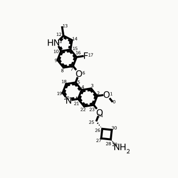 COc1cc2c(Oc3ccc4[nH]c(C)cc4c3F)ccnc2cc1OC[C@H]1C[C@@H](N)C1